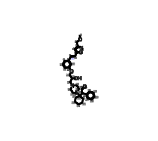 COCc1cc(/C=C/c2cccc(OCC(O)CN3CCN(C4(C(C=O)c5ccccc5)CCCCC4)CC3)c2)on1